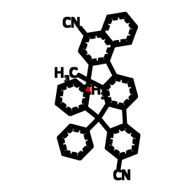 [C-]#[N+]c1cc2c(c3ccccc13)-c1ccc3c(c1C2(C)C)C(c1ccccc1)(c1ccccc1)c1cc(C#N)ccc1-3